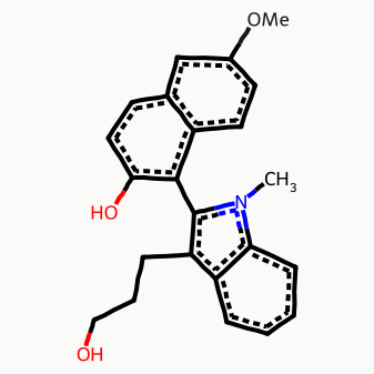 COc1ccc2c(-c3c(CCCO)c4ccccc4n3C)c(O)ccc2c1